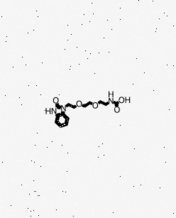 O=C(O)NCCOCCOCCn1c(=O)[nH]c2ccccc21